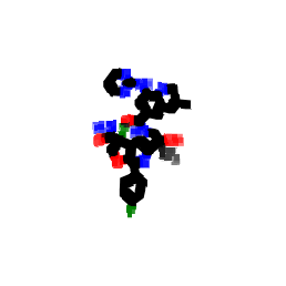 Cc1cnc2c(Nc3ncccn3)cc(C(=O)NC[C@](O)(c3cc4c(c(-c5ccc(F)cc5)n3)OC[C@]4(F)C(N)=O)C(F)(F)F)cc2c1